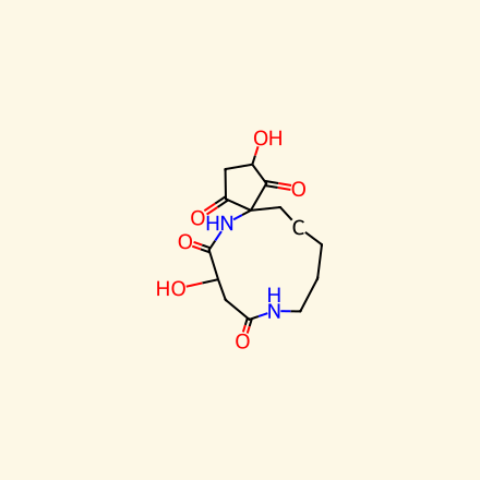 O=C1CC(O)C(=O)NC2(CCCCCN1)C(=O)CC(O)C2=O